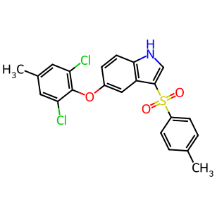 Cc1ccc(S(=O)(=O)c2c[nH]c3ccc(Oc4c(Cl)cc(C)cc4Cl)cc23)cc1